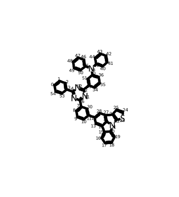 c1ccc(-c2nc(-c3cccc(-c4cc5c6ccccc6n6c7sccc7c(c4)c56)c3)nc(-c3cccc(N(c4ccccc4)c4ccccc4)c3)n2)cc1